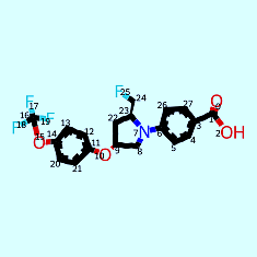 O=C(O)c1ccc(N2C[C@@H](Oc3ccc(OC(F)(F)F)cc3)C[C@H]2CF)cc1